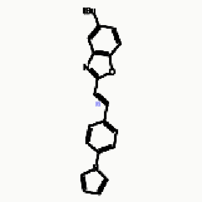 CC(C)(C)c1ccc2oc(/C=C/c3ccc(-n4cccc4)cc3)nc2c1